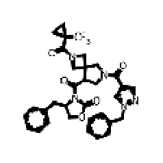 O=C(c1cnn(Cc2ccccc2)c1)N1CC(C(=O)N2C(=O)OCC2Cc2ccccc2)C2(C1)CN(C(=O)C1(C(F)(F)F)CC1)C2